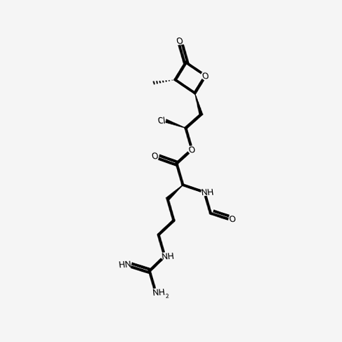 C[C@@H]1C(=O)O[C@H]1C[C@H](Cl)OC(=O)[C@H](CCCNC(=N)N)NC=O